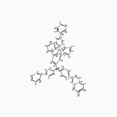 c1ccc(-c2ccc(N(c3ccc(-c4ccc5ccccc5c4)cc3)c3ccc4c(c3)-c3ccccc3C4(c3ccccc3)c3ccc(-c4ccccc4)cc3)cc2)cc1